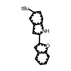 CC(C)(C)c1ccc2[nH]c(-c3cc4ccccc4o3)cc2c1